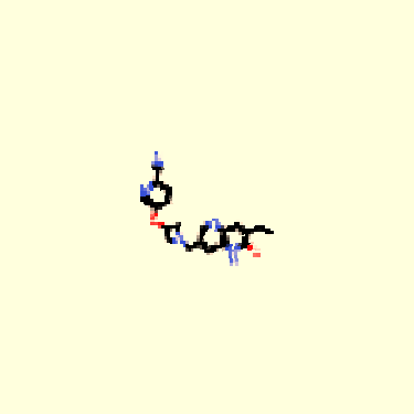 CCc1cc2ncc(CN3CC(Oc4ccc(C#N)nc4)C3)cc2[nH]c1=O